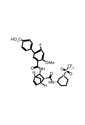 COc1cc(F)c(-c2ccc(C(=O)O)cc2)cc1C(=O)N[C@H]1[C@@H](C(=O)N[C@H]2CCCN(S(=O)(=O)C(F)(F)F)C2)[C@@H]2C=C[C@H]1C2